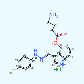 Cl.NCCCC(=O)Oc1cccc2[nH]cc(C=NNc3ccc(F)cc3)c12